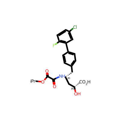 CC(C)OC(=O)C(=O)N[C@H](Cc1ccc(-c2cc(Cl)ccc2F)cc1)C[C@@H](O)C(=O)O